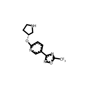 FC(F)(F)c1nc(-c2ccc(O[C@@H]3CCNC3)nc2)no1